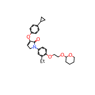 CCc1cc(N2CC=C(Oc3ccc(C4CC4)cc3)C2=O)ccc1OCCOC1CCCCO1